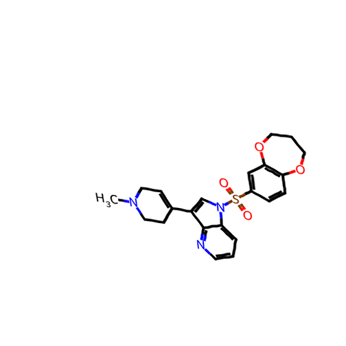 CN1CC=C(c2cn(S(=O)(=O)c3ccc4c(c3)OCCCO4)c3cccnc23)CC1